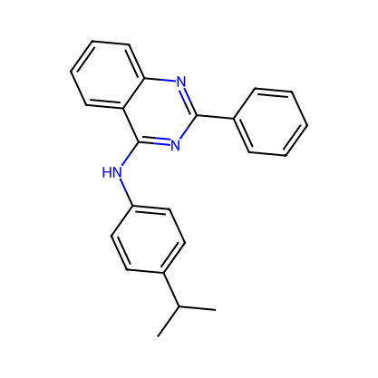 CC(C)c1ccc(Nc2nc(-c3ccccc3)nc3ccccc23)cc1